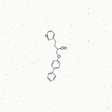 O[C@H](CCc1cccnc1)COc1ccc(-c2ccccc2)cc1